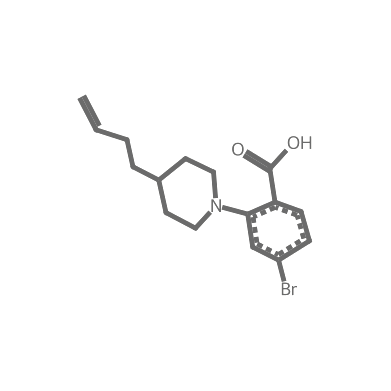 C=CCCC1CCN(c2cc(Br)ccc2C(=O)O)CC1